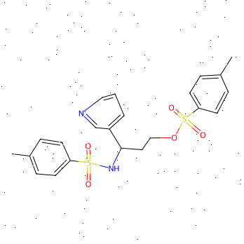 Cc1ccc(S(=O)(=O)NC(CCOS(=O)(=O)c2ccc(C)cc2)c2cccnc2)cc1